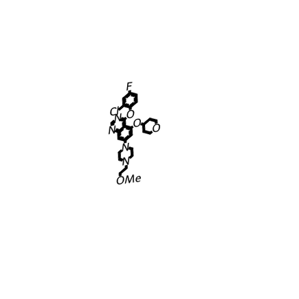 COCCN1CCN(c2cc(OC3CCOCC3)c3c(Oc4ccc(F)cc4Cl)ncnc3c2)CC1